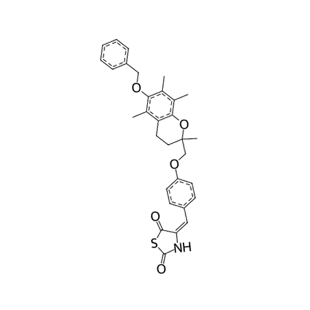 Cc1c(C)c2c(c(C)c1OCc1ccccc1)CCC(C)(COc1ccc(C=C3NC(=O)SC3=O)cc1)O2